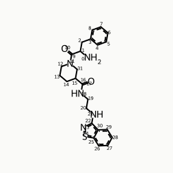 NC(Cc1ccccc1)C(=O)N1CCCC(C(=O)NCCNc2nsc3ccccc23)C1